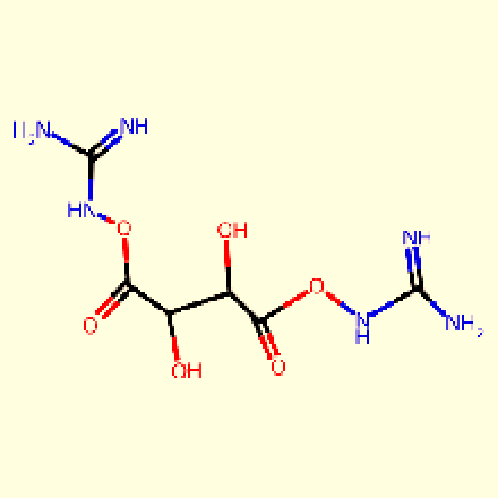 N=C(N)NOC(=O)C(O)C(O)C(=O)ONC(=N)N